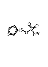 CCCS(=O)(=O)OS.c1ccsc1